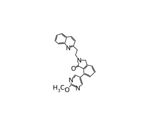 COc1ncc(-c2cccc3c2C(=O)N(CCc2ccc4ccccc4n2)C3)cn1